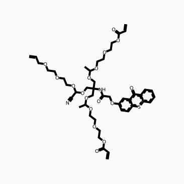 C=CCOCCOCCOC(C#N)OCC(COC(C)OCCOCCOC(=O)C=C)(COC(C)OCCOCCOC(=O)C=C)NC(=O)COc1ccc2sc3ccccc3c(=O)c2c1